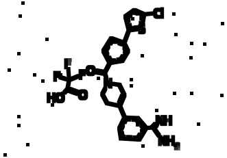 N=C(N)c1cccc(C2=CCN(C(=O)c3ccc(-c4ccc(Cl)s4)cc3)CC2)c1.O=C(O)C(F)(F)F